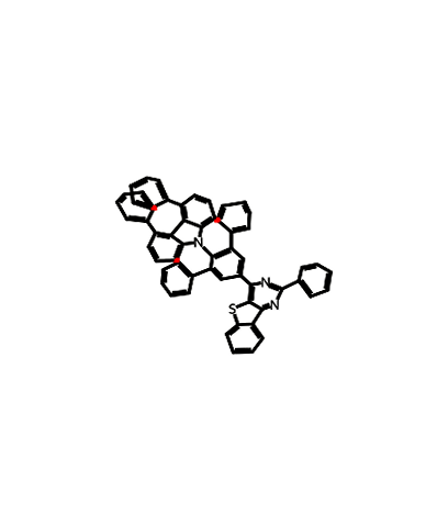 c1ccc(-c2nc(-c3cc(-c4ccccc4)c(-n4c5cccc(-c6ccccc6)c5c5c(-c6ccccc6)cccc54)c(-c4ccccc4)c3)c3sc4ccccc4c3n2)cc1